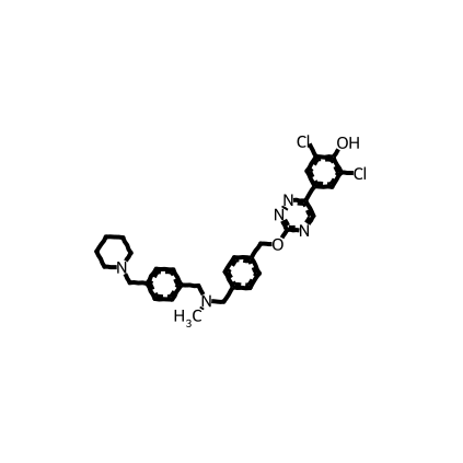 CN(Cc1ccc(COc2ncc(-c3cc(Cl)c(O)c(Cl)c3)nn2)cc1)Cc1ccc(CN2CCCCC2)cc1